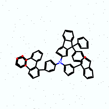 c1ccc(-c2ccccc2-c2c(-c3ccccc3)cccc2-c2ccc(N(c3cccc(-c4cccc5ccccc45)c3)c3ccc4c(c3)C(c3ccccc3)(c3ccccc3)c3ccccc3-4)cc2)cc1